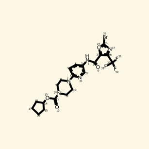 O=C(Nc1ccc(N2CCN(C(=O)OC3CCCC3)CC2)nc1)c1oc(Br)nc1C(F)(F)F